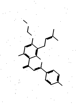 COCOc1cc(O)c2c(=O)cc(-c3ccc(Cl)cc3)oc2c1CC=C(C)C